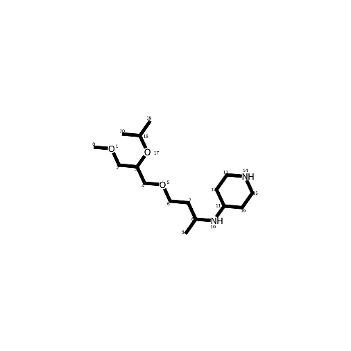 COCC(COCCC(C)NC1CCNCC1)OC(C)C